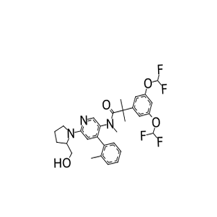 Cc1ccccc1-c1cc(N2CCCC2CO)ncc1N(C)C(=O)C(C)(C)c1cc(OC(F)F)cc(OC(F)F)c1